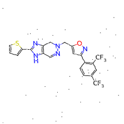 FC(F)(F)c1ccc(-c2cc(CN3Cc4nc(-c5cccs5)[nH]c4C=N3)on2)c(C(F)(F)F)c1